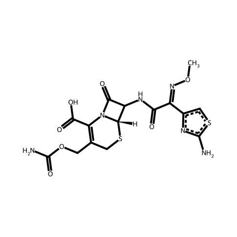 CON=C(C(=O)NC1C(=O)N2C(C(=O)O)=C(COC(N)=O)CS[C@@H]12)c1csc(N)n1